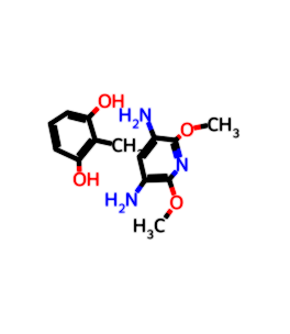 COc1nc(OC)c(N)cc1N.Cc1c(O)cccc1O